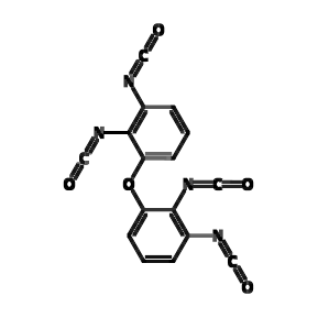 O=C=Nc1cccc(Oc2cccc(N=C=O)c2N=C=O)c1N=C=O